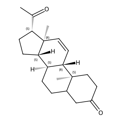 CC(=O)[C@H]1CC[C@H]2[C@@H]3CCC4CC(=O)CC[C@]4(C)[C@H]3C=C[C@]12C